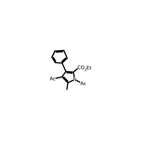 CCOC(=O)c1c(-c2ccccc2)c(C(C)=O)c(C)n1C(C)=O